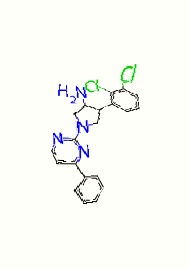 NC1CN(c2nccc(-c3ccccc3)n2)CC1c1cccc(Cl)c1Cl